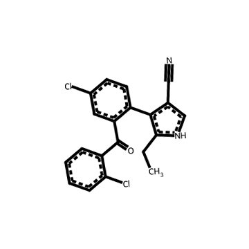 CCc1[nH]cc(C#N)c1-c1ccc(Cl)cc1C(=O)c1ccccc1Cl